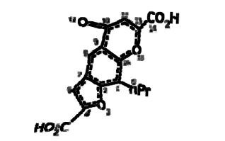 CCCc1c2oc(C(=O)O)cc2cc2c(=O)cc(C(=O)O)oc12